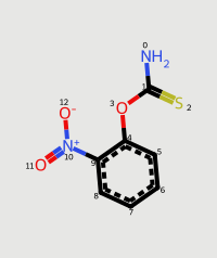 NC(=S)Oc1ccccc1[N+](=O)[O-]